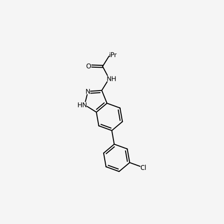 CC(C)C(=O)Nc1n[nH]c2cc(-c3cccc(Cl)c3)ccc12